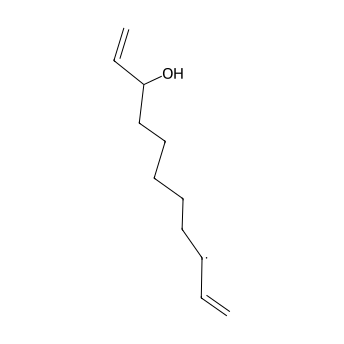 C=C[CH]CCCCCC(O)C=C